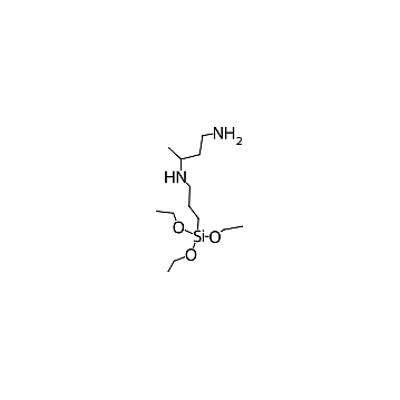 CCO[Si](CCCNC(C)CCN)(OCC)OCC